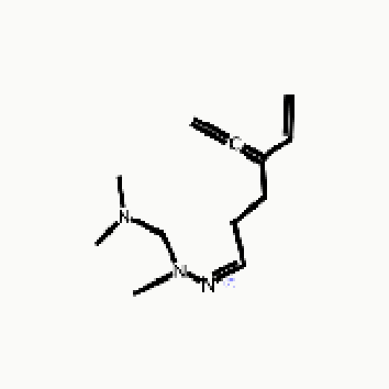 C=C=C(C=C)CC/C=N\N(C)CN(C)C